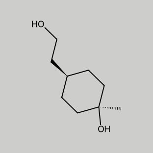 C[C@]1(O)CC[C@@H](CCO)CC1